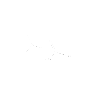 CP(C)C.O=S(O)O